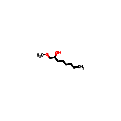 C=CCCCCC(O)COC